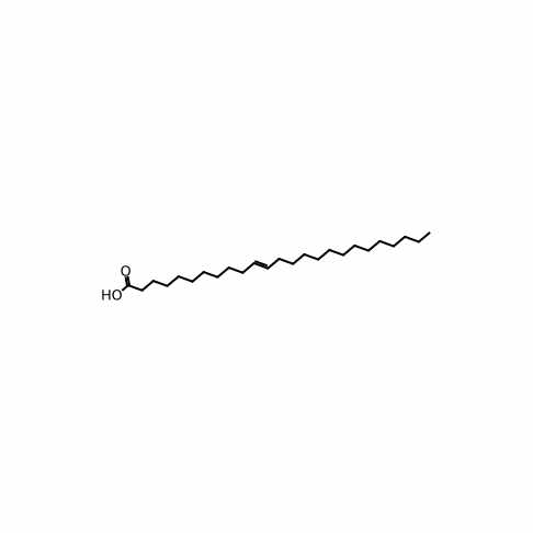 CCCCCCCCCCCCCC=CCCCCCCCCCC(=O)O